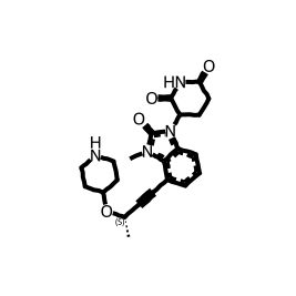 C[C@@H](C#Cc1cccc2c1n(C)c(=O)n2C1CCC(=O)NC1=O)OC1CCNCC1